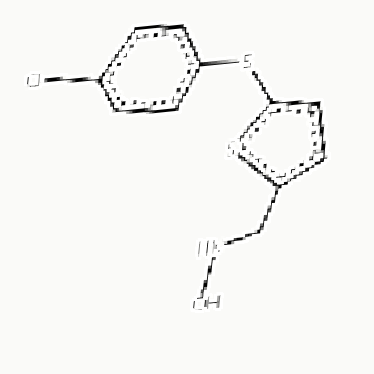 ONCc1ccc(Sc2ccc(Cl)cc2)s1